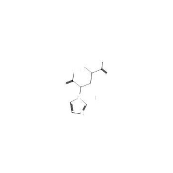 CC(CC(C(=O)O)n1ccnc1)C(=O)O.Cl